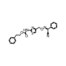 N#CC(=NOCc1csc(NC(=O)OCCc2ccccc2)n1)c1ccccc1